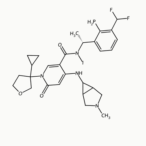 C[C@H](c1cccc(C(F)F)c1P)N(I)C(=O)c1cn(C2(C3CC3)CCOC2)c(=O)cc1NC1C2CN(C)CC21